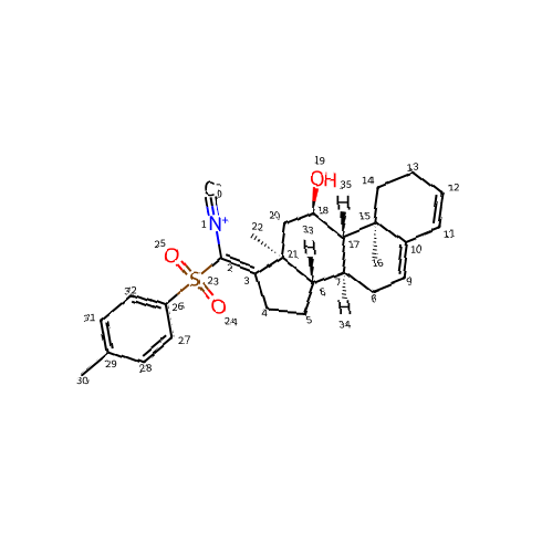 [C-]#[N+]C(=C1CC[C@H]2[C@@H]3CC=C4C=CCC[C@]4(C)[C@H]3[C@H](O)C[C@]12C)S(=O)(=O)c1ccc(C)cc1